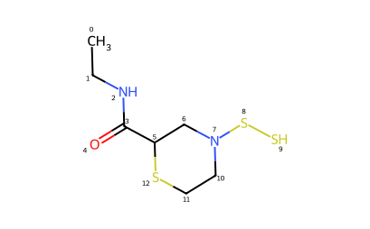 CCNC(=O)C1CN(SS)CCS1